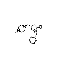 CN1CCN(CC2CC(=O)N(Cc3ccccc3)C2)CC1